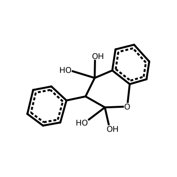 OC1(O)Oc2ccccc2C(O)(O)C1c1ccccc1